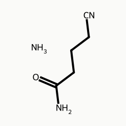 N.N#CCCCC(N)=O